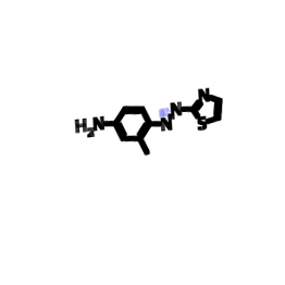 Cc1cc(N)ccc1/N=N/c1nccs1